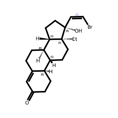 CC[C@]12CC[C@H]3[C@@H](CCC4=CC(=O)CC[C@@H]43)[C@@H]1CC[C@@]2(O)/C=C\Br